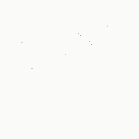 CC1=C(C)C(=O)N(Nc2ccc(C(F)(F)F)c(-c3ccc(C)cc3)n2)C1=O